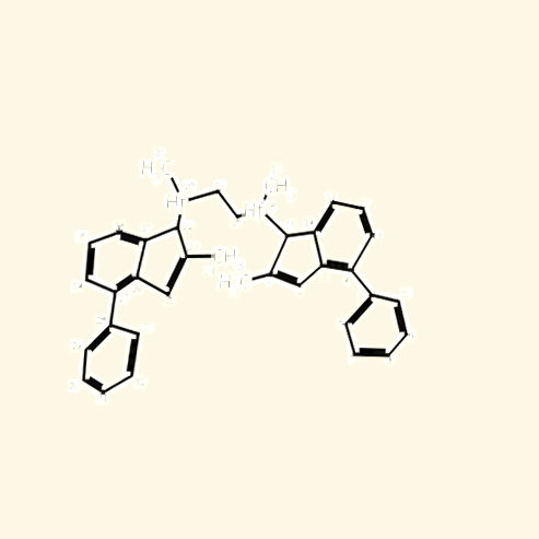 CC1=Cc2c(-c3ccccc3)cccc2[CH]1[Hf]([CH3])[CH2][CH2][Hf]([CH3])[CH]1C(C)=Cc2c(-c3ccccc3)cccc21